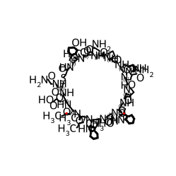 CCCC[C@H]1C(=O)N(C)[C@@H](CCCC)C(=O)N[C@@H](CCC(=O)O)C(=O)N[C@H](C(=O)NCC(N)=O)CSCC(=O)N[C@@H](Cc2ccc(O)cc2)C(=O)N(C)[C@@H](C)C(=O)N[C@@H](CC(N)=O)C(=O)N2CCC[C@H]2C(=O)N[C@@H](Cc2c[nH]cn2)C(=O)N[C@@H](CCC(N)=O)C(=O)N2CCC[C@H]2C(=O)N[C@@H](Cc2c[nH]c3ccccc23)C(=O)N[C@@H](CO)C(=O)N[C@@H](Cc2c[nH]c3ccccc23)C(=O)N1C